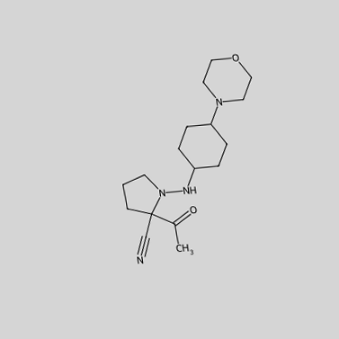 CC(=O)C1(C#N)CCCN1NC1CCC(N2CCOCC2)CC1